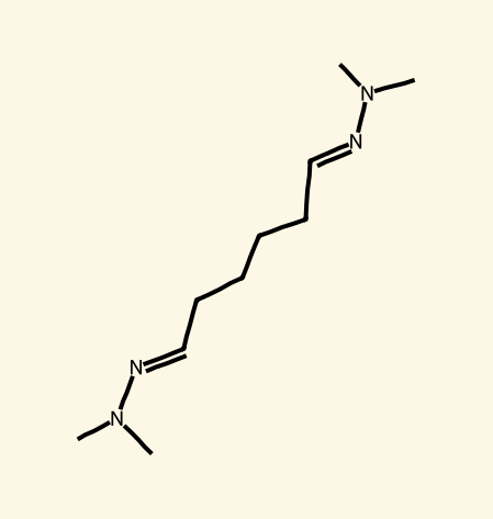 CN(C)N=CCCCCC=NN(C)C